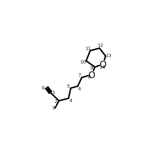 C#CC(C)CCCCOC1CCCCO1